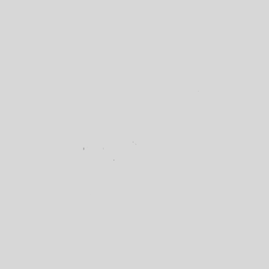 CC(C)c1cccc(C(C)C)c1N(C)c1ccccc1N1Cc2cc3c(cc21)C1C=CC=CC1S3